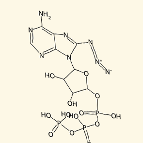 [N-]=[N+]=Nc1nc2c(N)ncnc2n1C1OC(OP(=O)(O)OP(=O)(O)OP(=O)(O)O)C(O)C1O